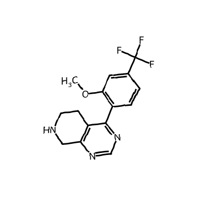 COc1cc(C(F)(F)F)ccc1-c1ncnc2c1CCNC2